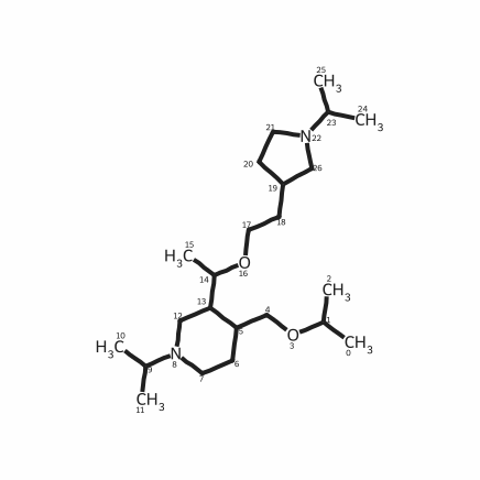 CC(C)OCC1CCN(C(C)C)CC1C(C)OCCC1CCN(C(C)C)C1